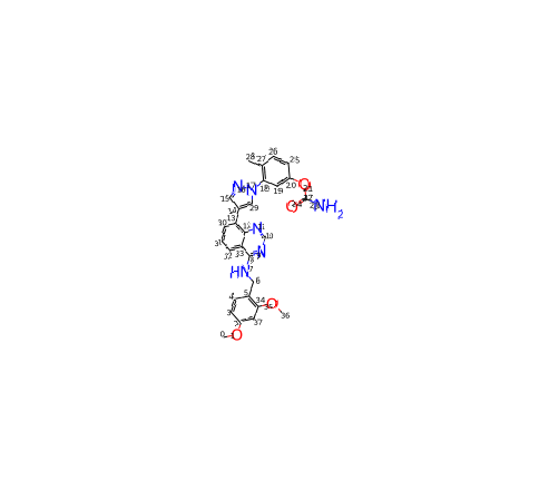 COc1ccc(CNc2ncnc3c(-c4cnn(-c5cc(OC(N)=O)ccc5C)c4)cccc23)c(OC)c1